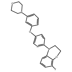 Fc1cccc2c1OCCN2c1ccc(Oc2cccc(N3CCOCC3)c2)cn1